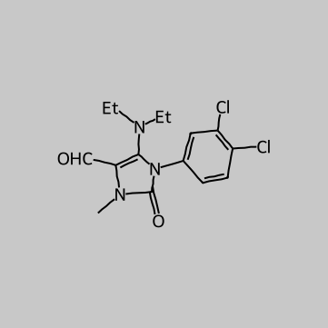 CCN(CC)c1c(C=O)n(C)c(=O)n1-c1ccc(Cl)c(Cl)c1